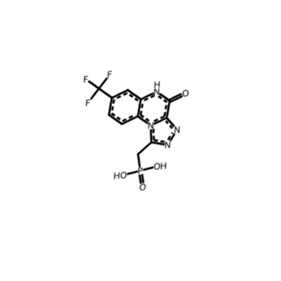 O=c1[nH]c2cc(C(F)(F)F)ccc2n2c(CP(=O)(O)O)nnc12